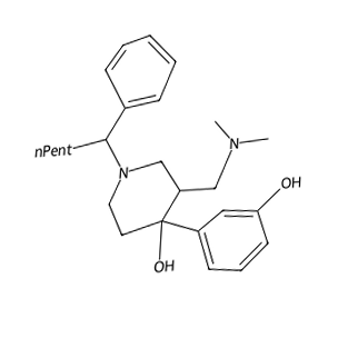 CCCCCC(c1ccccc1)N1CCC(O)(c2cccc(O)c2)C(CN(C)C)C1